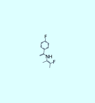 C=C(N/C(C)=C(/C)F)c1ccc(F)cc1